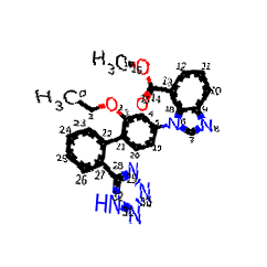 CCOc1cc(-n2cnc3cccc(C(=O)OC)c32)ccc1-c1ccccc1-c1nnn[nH]1